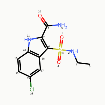 CCNS(=O)(=O)c1c(C(N)=O)[nH]c2ccc(Cl)cc12